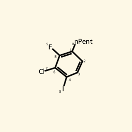 CCCCCc1ccc(I)c(Cl)c1F